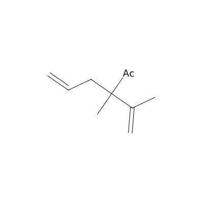 C=CCC(C)(C(=C)C)C(C)=O